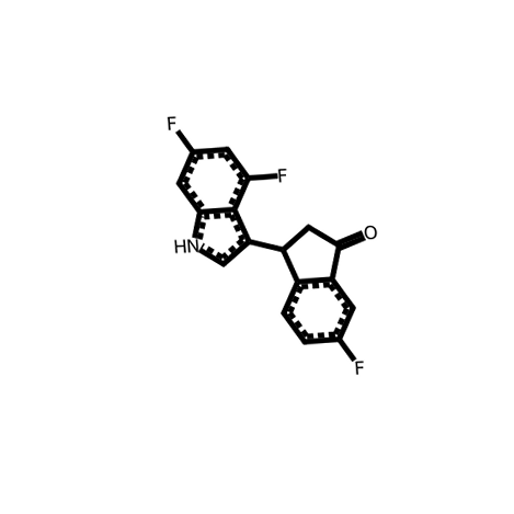 O=C1CC(c2c[nH]c3cc(F)cc(F)c23)c2ccc(F)cc21